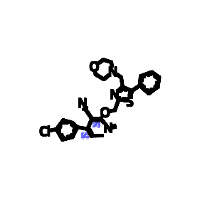 C=N/C(OCc1nc(CN2CCOCC2)c(-c2ccccc2)s1)=C(C#N)\C(=C/C)c1ccc(Cl)cc1